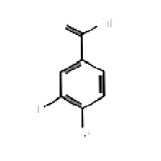 CC(C)COC(=O)c1ccc([N+](=O)[O-])c(F)c1